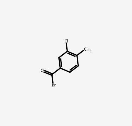 Cc1ccc(C(=O)Br)cc1Cl